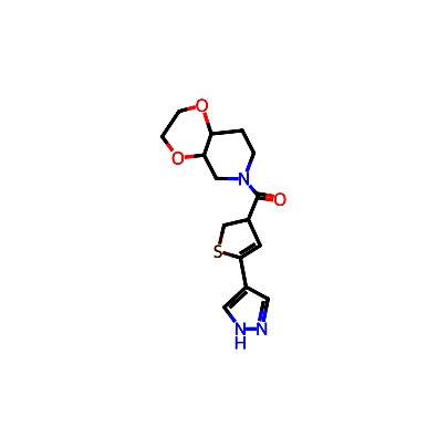 O=C(C1C=C(c2cn[nH]c2)SC1)N1CCC2OCCOC2C1